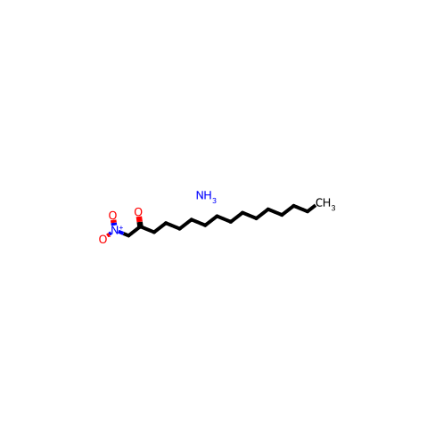 CCCCCCCCCCCCCCC(=O)C[N+](=O)[O-].N